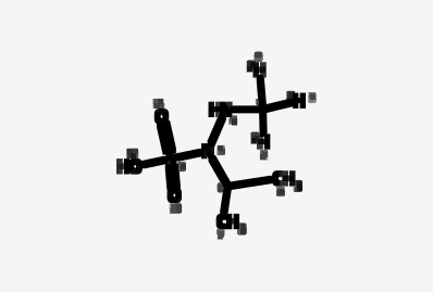 [2H]C([2H])([2H])NN(C(C)C)S(=O)(=O)O